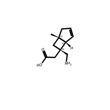 C[C@@]12CC=C[C@@H]1[C@](CN)(CC(=O)O)C2